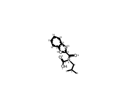 CC(C)CN(C(=O)O)C(=O)c1nc2ccccc2o1